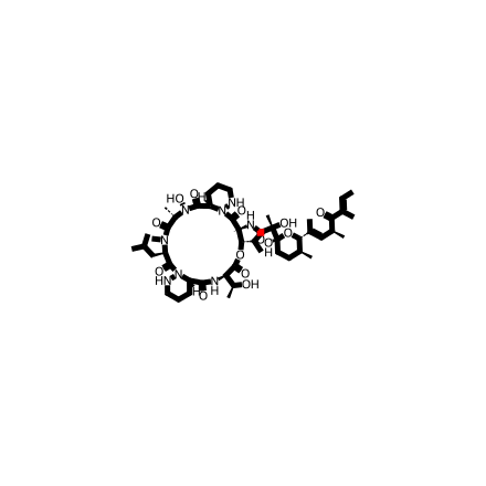 C/C=C(\C)C(=O)[C@@H](C)/C=C(\C)[C@H]1O[C@@](O)([C@@](C)(O)C(=O)N[C@@H]2C(=O)N3NCCC[C@@H]3C(=O)N(O)[C@@H](C)C(=O)N(C)[C@H](CC(C)C)C(=O)N3NCCC[C@H]3C(=O)N[C@H]([C@H](C)O)C(=O)O[C@H]2C(C)C)CC[C@@H]1C